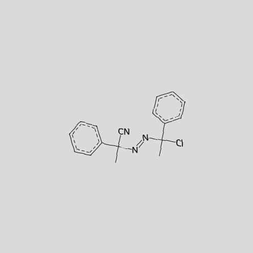 CC(Cl)(/N=N/C(C)(C#N)c1ccccc1)c1ccccc1